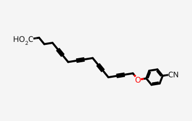 N#Cc1ccc(OCC#CCC#CCC#CCC#CCCCC(=O)O)cc1